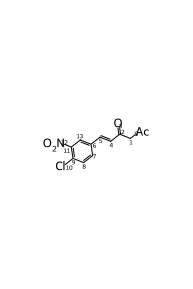 CC(=O)CC(=O)C=Cc1ccc(Cl)c([N+](=O)[O-])c1